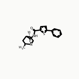 CC1CC2CCN1C[C@@H]2NC(=O)c1ccc(-c2ccccc2)s1